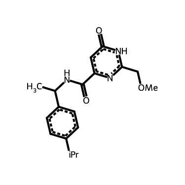 COCc1nc(C(=O)NC(C)c2ccc(C(C)C)cc2)cc(=O)[nH]1